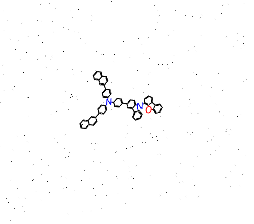 C1=CC(N(c2ccc(-c3ccc4ccccc4c3)cc2)c2ccc(-c3ccc4ccccc4c3)cc2)CC=C1c1ccc2c(c1)c1ccccc1n2-c1cccc2c1oc1ccccc12